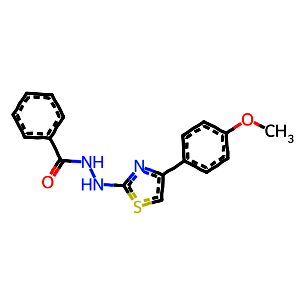 COc1ccc(-c2csc(NNC(=O)c3ccccc3)n2)cc1